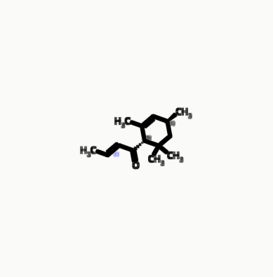 C/C=C/C(=O)[C@@H]1C(C)=C[C@@H](C)CC1(C)C